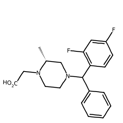 C[C@@H]1CN(C(c2ccccc2)c2ccc(F)cc2F)CCN1CC(=O)O